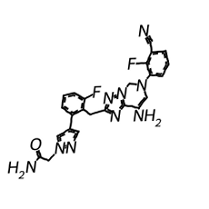 N#Cc1cccc(N2C=C(N)c3nc(Cc4c(F)cccc4-c4cnn(CC(N)=O)c4)nn3C2)c1F